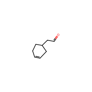 O=CCC1CC=CCC1